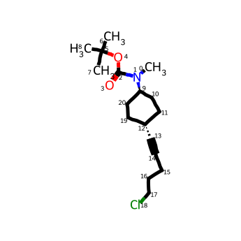 CN(C(=O)OC(C)(C)C)[C@H]1CC[C@H](C#CCCCCl)CC1